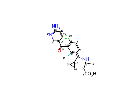 CC(CC(=O)O)N[C@@H](c1ccc(Cl)c(C(=O)c2ccc(N)nc2)c1F)C1CC1